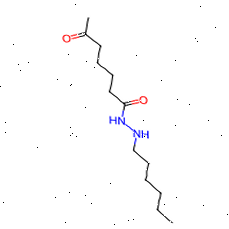 CCCCCCNNC(=O)CCCCC(C)=O